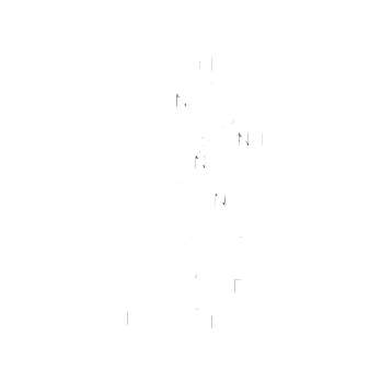 Fc1ccc(C(F)C2CCN(C3=CNc4cc(Cl)ncc4N3C3CC3)CC2)c(F)c1